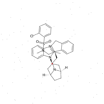 Cc1nc2ccccc2n1[C@H]1C[C@H]2CC[C@@H](C1)N2CC[C@@]1(CN(C)S(=O)(=O)c2ccccc2Cl)CCc2ccccc21